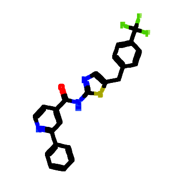 O=C(Nc1ncc(Cc2ccc(C(F)(F)F)cc2)s1)c1ccnc(-c2ccccc2)c1